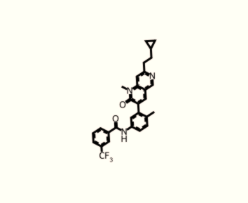 Cc1ccc(NC(=O)c2cccc(C(F)(F)F)c2)cc1-c1cc2cnc(CCC3CC3)cc2n(C)c1=O